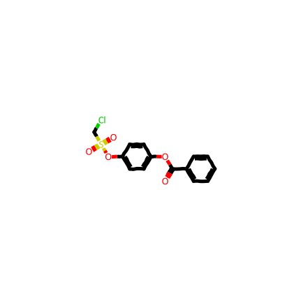 O=C(Oc1ccc(OS(=O)(=O)CCl)cc1)c1ccccc1